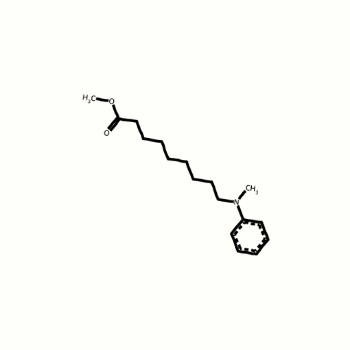 COC(=O)CCCCCCCCN(C)c1ccccc1